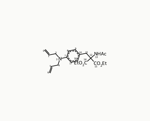 C=CCN(CC=C)c1ccc(CC(NC(C)=O)(C(=O)OCC)C(=O)OCC)cc1